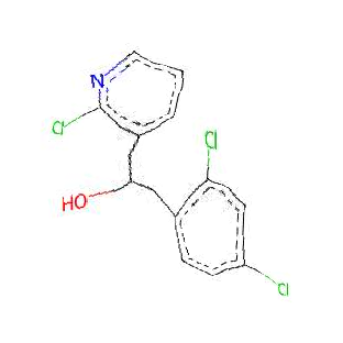 OC(c1ccc(Cl)cc1Cl)c1cccnc1Cl